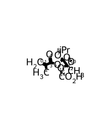 C=C(C)C(=O)OC1(OC(C)C)OOC1(C)OC(=O)O